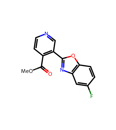 COC(=O)c1ccncc1-c1nc2cc(F)ccc2o1